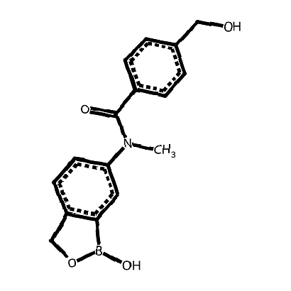 CN(C(=O)c1ccc(CO)cc1)c1ccc2c(c1)B(O)OC2